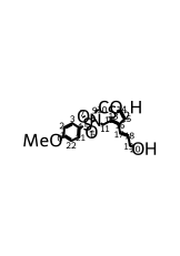 COc1ccc(S(=O)(=O)N(CC(=O)O)Cc2sccc2C=CCO)cc1